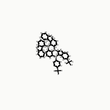 CC(C)(C)c1ccc(N2c3cccc4c3B(c3ccc5sc6ccccc6c5c3N4c3cccc4sc5ccccc5c34)c3sc4ccc(C(C)(C)C)cc4c32)cc1